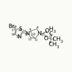 CC(C)(C)OC(=O)N1CC2CC1CN2c1ncc(Br)s1